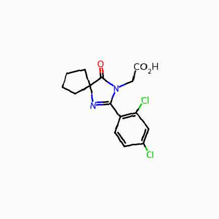 O=C(O)CN1C(=O)C2(CCCC2)N=C1c1ccc(Cl)cc1Cl